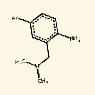 CC(=O)c1ccc(N)c(CN(C)C)c1